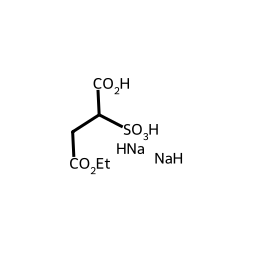 CCOC(=O)CC(C(=O)O)S(=O)(=O)O.[NaH].[NaH]